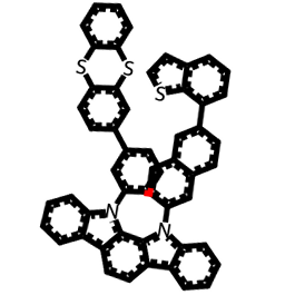 c1cc(-c2ccc3c(c2)Sc2ccccc2S3)cc(-n2c3ccccc3c3ccc4c5ccccc5n(-c5ccc6cc(-c7cccc8ccsc78)ccc6c5)c4c32)c1